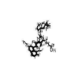 CCc1c(F)ccc2cc(OCOC)cc(-c3ncc4c(N(C)CCCC(=O)O)nc(OC[C@@]56CCCN5C[C@@]5(CC5(F)F)C6)nc4c3F)c12